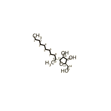 CCCCCCCCCC(C)[C@H]1O[C@H](CO)[C@@H](O)[C@@H]1O